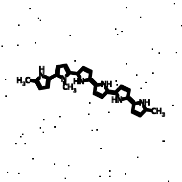 Cc1ccc(-c2ccc(C3C=C/C(=c4/cc/c(=c5/cc/c(=C6/C=CC(C)N6)[nH]5)[nH]4)N3)n2C)[nH]1